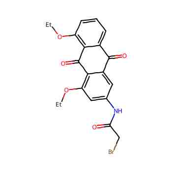 CCOc1cccc2c1C(=O)c1c(OCC)cc(NC(=O)CBr)cc1C2=O